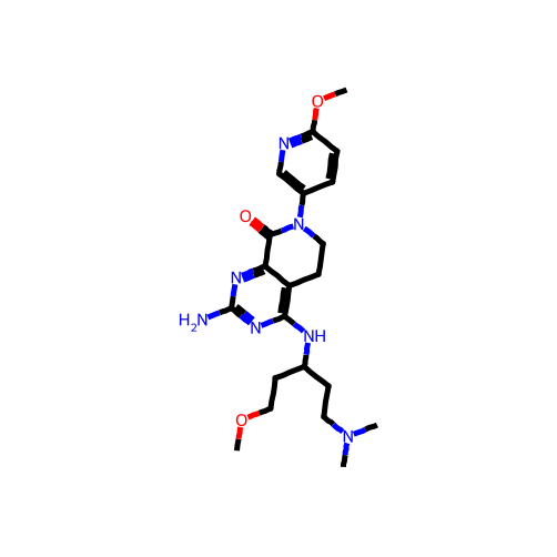 COCCC(CCN(C)C)Nc1nc(N)nc2c1CCN(c1ccc(OC)nc1)C2=O